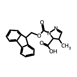 CC1C=NN(C(=O)OCC2c3ccccc3-c3ccccc32)C1C(=O)O